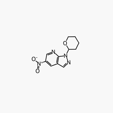 O=[N+]([O-])c1cnc2c(cnn2C2CCCCO2)c1